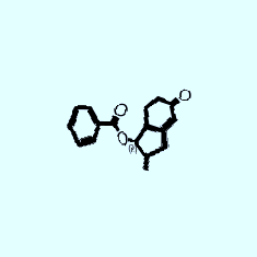 CC1CC2=CC(=O)CCC2[C@@H]1OC(=O)c1ccccc1